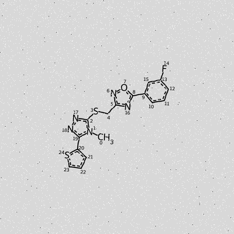 Cn1c(SCc2noc(-c3cccc(F)c3)n2)nnc1-c1cccs1